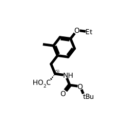 CCOc1ccc(C[C@H](NC(=O)OC(C)(C)C)C(=O)O)c(C)c1